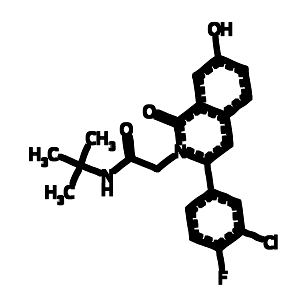 CC(C)(C)NC(=O)Cn1c(-c2ccc(F)c(Cl)c2)cc2ccc(O)cc2c1=O